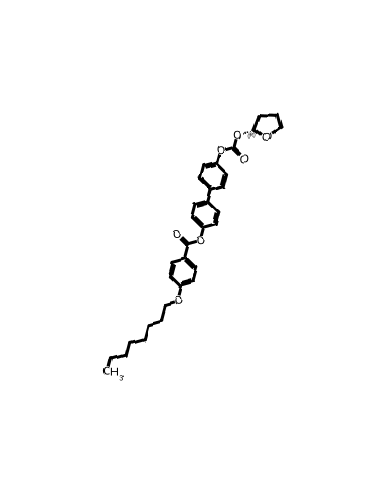 CCCCCCCCOc1ccc(C(=O)Oc2ccc(-c3ccc(OC(=O)O[C@@H]4CCCO4)cc3)cc2)cc1